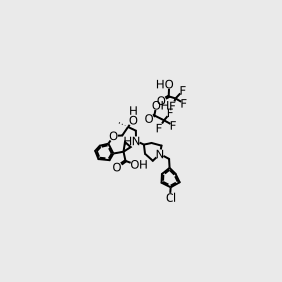 C[C@](O)(CNC1CCN(Cc2ccc(Cl)cc2)CC1)COc1ccccc1C1(C(=O)O)CC1.O=C(O)C(F)(F)F.O=C(O)C(F)(F)F